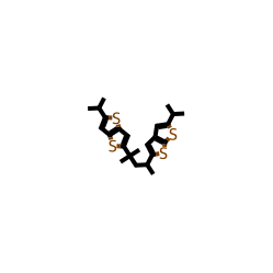 CC(C)c1cc2sc(C(C)(C)CC(C)c3cc4cc(C(C)C)sc4s3)cc2s1